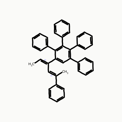 C/C=C(\C=C(/C)c1ccccc1)c1cc(-c2ccccc2)c(-c2ccccc2)c(-c2ccccc2)c1-c1ccccc1